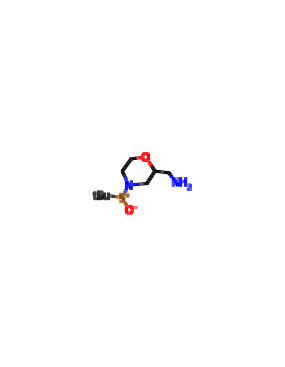 CC(C)(C)[S+]([O-])N1CCOC(CN)C1